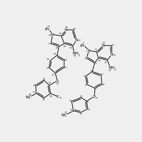 CC(C)n1cc(-c2ccc(Oc3ccc(C#N)cc3)cc2)c2c(N)ncnc21.CC(C)n1cc(-c2ccc(Oc3ccc(C#N)cc3F)cc2)c2c(N)ncnc21